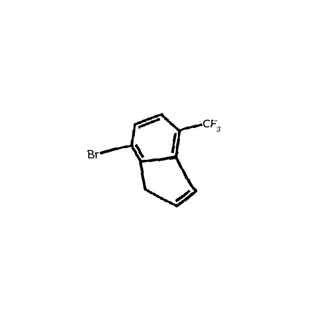 FC(F)(F)c1ccc(Br)c2c1C=CC2